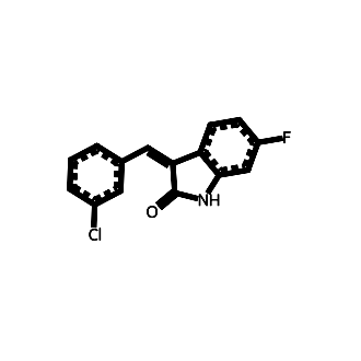 O=C1Nc2cc(F)ccc2C1=Cc1cccc(Cl)c1